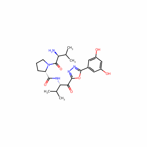 CC(C)[C@H](N)C(=O)N1CCC[C@H]1C(=O)N[C@H](C(=O)c1nnc(-c2cc(O)cc(O)c2)o1)C(C)C